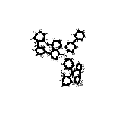 c1ccc(-c2ccc(N(c3ccc4c(c3)Oc3ccccc3C43c4ccccc4-c4ccccc43)c3ccc4c5cccc6c7ccccc7n(c7cccc3c47)c56)cc2)cc1